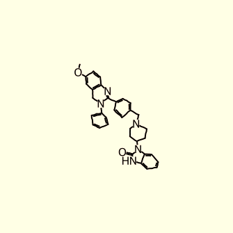 COc1ccc2c(c1)CN(c1ccccc1)C(c1ccc(CN3CCC(n4c(=O)[nH]c5ccccc54)CC3)cc1)=N2